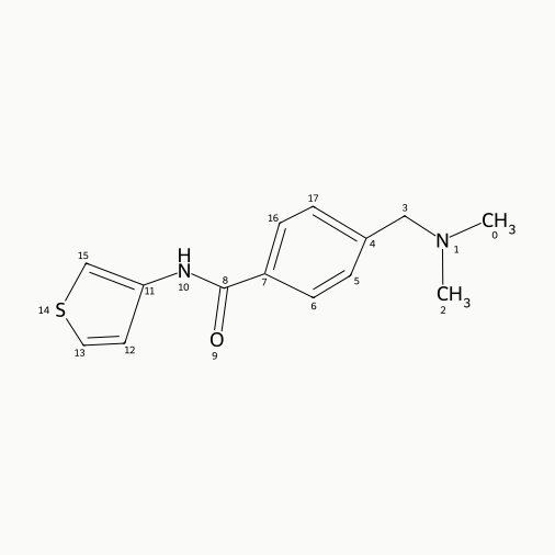 CN(C)Cc1ccc(C(=O)Nc2ccsc2)cc1